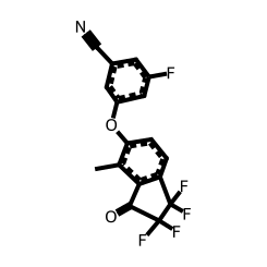 Cc1c(Oc2cc(F)cc(C#N)c2)ccc2c1C(=O)C(F)(F)C2(F)F